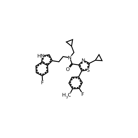 Cc1ccc(-c2sc(C3CC3)nc2C(=O)N(CCc2c[nH]c3ccc(F)cc23)CC2CC2)cc1F